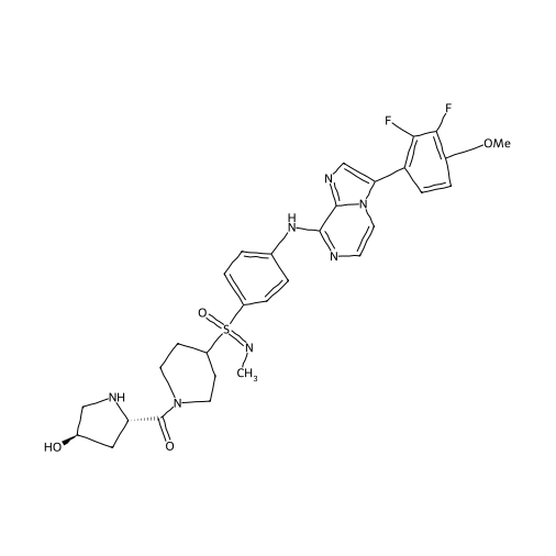 CN=S(=O)(c1ccc(Nc2nccn3c(-c4ccc(OC)c(F)c4F)cnc23)cc1)C1CCN(C(=O)[C@@H]2C[C@@H](O)CN2)CC1